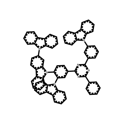 c1ccc(-c2nc(-c3cccc(-n4c5ccccc5c5ccccc54)c3)nc(-c3ccc(-n4c5ccccc5c5ccc(-n6c7ccccc7c7ccccc76)cc54)c(-n4c5ccccc5c5ccccc54)c3)n2)cc1